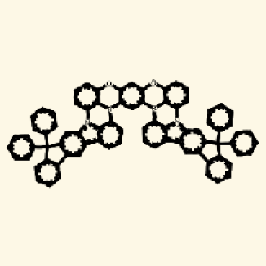 c1ccc(C2(c3ccccc3)c3ccccc3-c3cc4c5cccc6c5n(c4cc32)-c2cccc3c2B6c2cc4c(cc2O3)Oc2cccc3c2B4c2cccc4c5cc6c(cc5n-3c24)C(c2ccccc2)(c2ccccc2)c2ccccc2-6)cc1